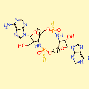 Nc1ncnc2c1ncn2[C@@H]1O[C@@H]2COP(=O)(S)NC3[C@@H](COP(=O)(S)NC2C1CO)O[C@@H](n1cnc2c(N)ncnc21)[C@H]3O